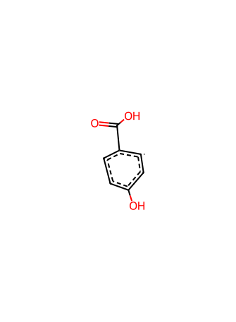 O=C(O)c1[c]cc(O)cc1